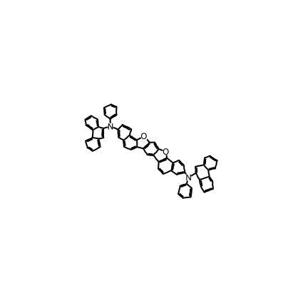 c1ccc(N(c2ccc3c(ccc4c5cc6c(cc5oc34)oc3c4ccc(N(c5ccccc5)c5cc7ccccc7c7ccccc57)cc4ccc63)c2)c2cc3ccccc3c3ccccc23)cc1